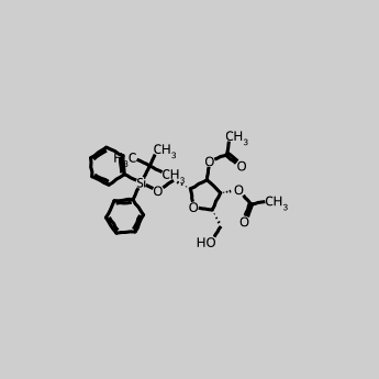 CC(=O)OC1[C@@H](CO[Si](c2ccccc2)(c2ccccc2)C(C)(C)C)O[C@@H](CO)[C@H]1OC(C)=O